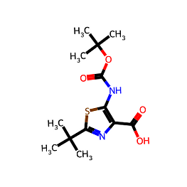 CC(C)(C)OC(=O)Nc1sc(C(C)(C)C)nc1C(=O)O